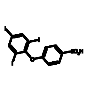 O=S(=O)(O)c1ccc(Oc2c(I)cc(I)cc2I)cc1